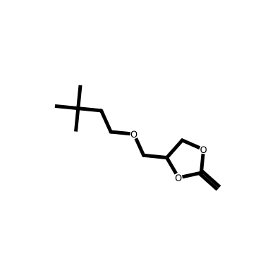 C=C1OCC(COCCC(C)(C)C)O1